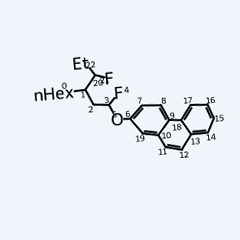 CCCCCCC(CC(F)Oc1ccc2c(ccc3ccccc32)c1)C(F)CC